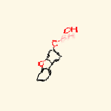 OBOc1ccc2c(c1)oc1ccccc12